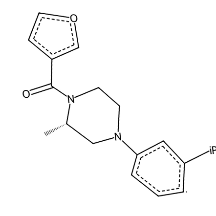 CC(C)c1[c]ccc(N2CCN(C(=O)c3ccoc3)[C@@H](C)C2)c1